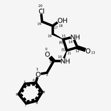 O=C(COc1ccccc1)N[C@@H]1C(=O)N[C@@H]1CC(O)CCl